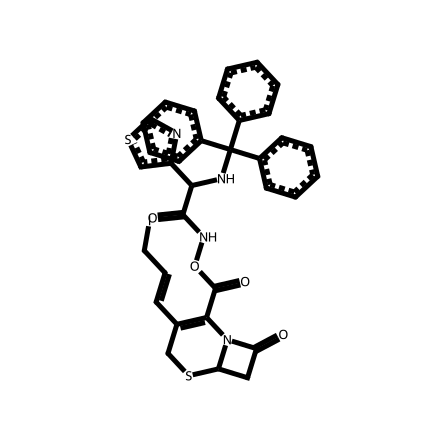 O=C(ONC(=O)C(NC(c1ccccc1)(c1ccccc1)c1ccccc1)c1cscn1)C1=C(C=CCI)CSC2CC(=O)N12